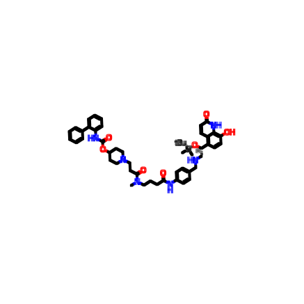 CN(CCCC(=O)Nc1ccc(CNC[C@H](O[Si](C)(C)C(C)(C)C)c2ccc(O)c3[nH]c(=O)ccc23)cc1)C(=O)CCN1CCC(OC(=O)Nc2ccccc2-c2ccccc2)CC1